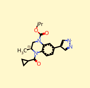 CC(C)OC(=O)N1C[C@H](C)N(C(=O)C2CC2)c2ccc(C3=C[N]N=C3)cc21